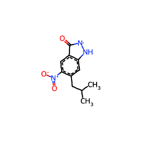 CC(C)Cc1cc2c(cc1[N+](=O)[O-])C(=O)[N]N2